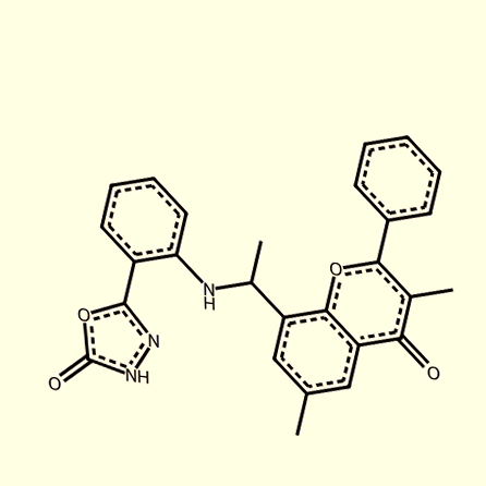 Cc1cc(C(C)Nc2ccccc2-c2n[nH]c(=O)o2)c2oc(-c3ccccc3)c(C)c(=O)c2c1